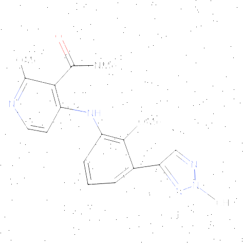 CNC(=O)c1c(Nc2cccc(-c3cnn(C)n3)c2OC)ccnc1OC